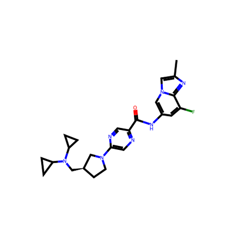 Cc1cn2cc(NC(=O)c3cnc(N4CC[C@@H](CN(C5CC5)C5CC5)C4)cn3)cc(F)c2n1